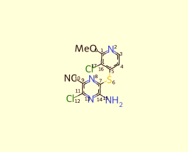 COc1nccc(Sc2nc(C#N)c(Cl)nc2N)c1Cl